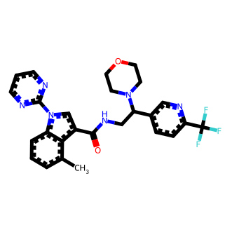 Cc1cccc2c1c(C(=O)NCC(c1ccc(C(F)(F)F)nc1)N1CCOCC1)cn2-c1ncccn1